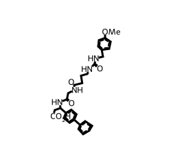 COc1ccc(CNC(=O)NCCCC(=O)NCC(=O)NC(CC(=O)O)c2ccc(-c3ccccc3)cc2)cc1